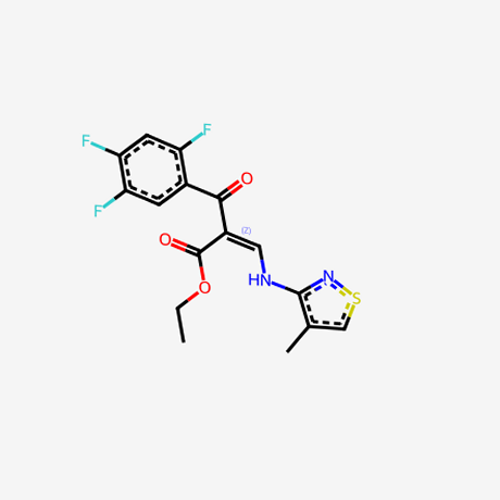 CCOC(=O)/C(=C\Nc1nscc1C)C(=O)c1cc(F)c(F)cc1F